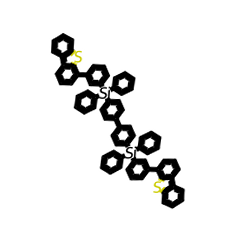 c1ccc([Si](c2ccccc2)(c2ccc(-c3ccc([Si](c4ccccc4)(c4ccccc4)c4cccc(-c5cccc6c5sc5ccccc56)c4)cc3)cc2)c2cccc(-c3cccc4c3sc3ccccc34)c2)cc1